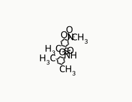 Cc1cc(C)cc(NS(=O)(=O)c2cc3c(cc2C)oc(=O)n3C)c1